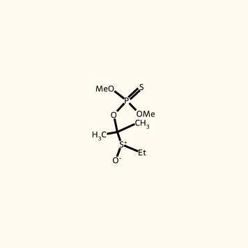 CC[S+]([O-])C(C)(C)OP(=S)(OC)OC